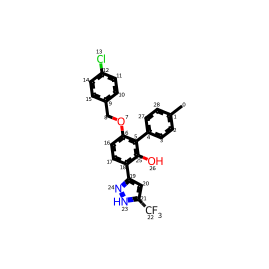 Cc1ccc(-c2c(OCc3ccc(Cl)cc3)ccc(-c3cc(C(F)(F)F)[nH]n3)c2O)cc1